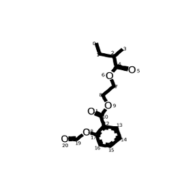 CCC(C)C(=O)OCCOC(=O)c1ccccc1OC=O